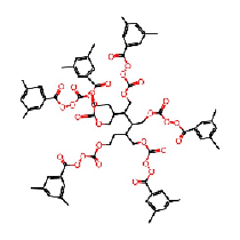 Cc1cc(C)cc(C(=O)OOC(=O)OCCC(COC(=O)OOC(=O)c2cc(C)cc(C)c2)C(COC(=O)OOC(=O)c2cc(C)cc(C)c2)C(COC(=O)OOC(=O)c2cc(C)cc(C)c2)C(CCOC(=O)OOC(=O)c2cc(C)cc(C)c2)COC(=O)OOC(=O)c2cc(C)cc(C)c2)c1